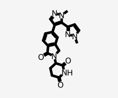 Cn1ccc(-c2c(-c3ccc4c(c3)CN(C3CCC(=O)NC3=O)C4=O)cnn2C)n1